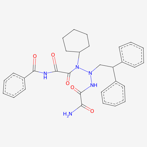 NC(=O)C(=O)NN(CC(c1ccccc1)c1ccccc1)N(C(=O)C(=O)NC(=O)c1ccccc1)C1CCCCC1